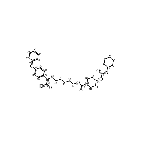 O=C(NC1CCCCC1)OC1CCN(C(=O)OCCCCCCN(C(=O)O)c2ccc(Oc3ccccc3)cc2)CC1